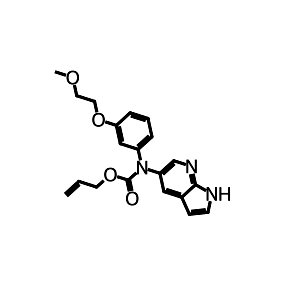 C=CCOC(=O)N(c1cccc(OCCOC)c1)c1cnc2[nH]ccc2c1